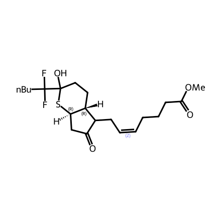 CCCCC(F)(F)C1(O)CC[C@@H]2C(C/C=C\CCCC(=O)OC)C(=O)C[C@H]2S1